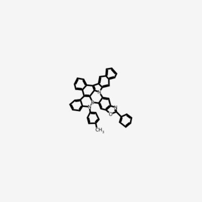 Cc1ccc(N2B3c4cc5oc(-c6ccccc6)nc5cc4-n4c5cc6ccccc6cc5c5c6ccccc6c(c3c54)-c3ccccc32)cc1